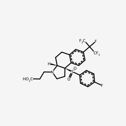 O=C(O)CCN1CC[C@@]2(S(=O)(=O)c3ccc(F)cc3)c3ccc(C(F)(C(F)(F)F)C(F)(F)F)cc3CC[C@@H]12